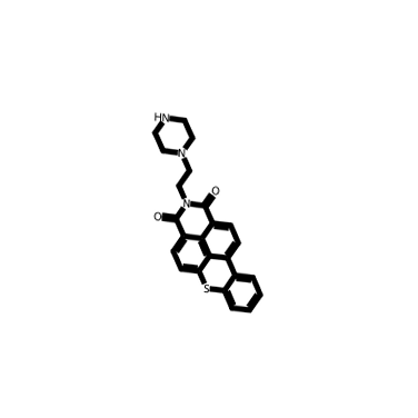 O=c1c2ccc3sc4ccccc4c4ccc(c(=O)n1CCN1CCNCC1)c2c34